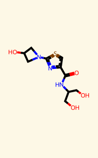 O=C(NC(CO)CO)c1csc(N2CC(O)C2)n1